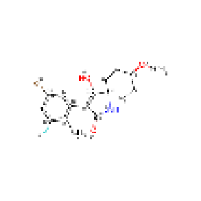 CO[C@H]1CC[C@]2(CC1)NC(=O)C(c1cc(Br)cc(F)c1C)=C2O